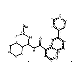 CC(C)(C)[S+]([O-])NC(NC(=O)c1ccnc2ccc(-c3ccncc3)cc12)C1CCCCC1